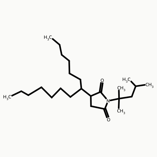 CCCCCCCC(CCCCCC)C1CC(=O)N(C(C)(C)CC(C)C)C1=O